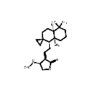 CC1(C)CCC[C@@]2(C)[C@H]1CCC1(CC1)[C@@H]2C/C=C1\C(=O)OC[C@H]1NC=O